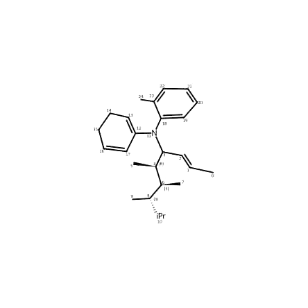 CC=CC([C@H](C)[C@@H](C)[C@@H](C)C(C)C)N(C1=CCCC=C1)c1ccccc1C